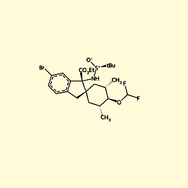 CCOC(=O)[C@]1(N[S@@+]([O-])C(C)(C)C)c2cc(Br)ccc2C[C@@]12C[C@@H](C)[C@H](OC(F)F)[C@@H](C)C2